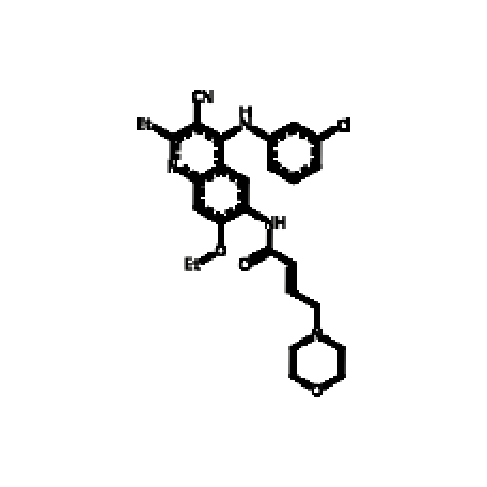 CCOc1cc2nc(CC)c(C#N)c(Nc3cccc(Cl)c3)c2cc1NC(=O)/C=C/CN1CCOCC1